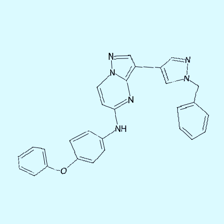 c1ccc(Cn2cc(-c3cnn4ccc(Nc5ccc(Oc6ccccc6)cc5)nc34)cn2)cc1